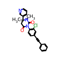 CN1C(=O)N(c2ccc(C#Cc3ccccc3)cc2Cl)C(=O)C[C@@]1(C)c1cccnc1